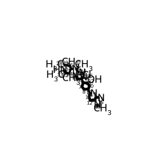 CN(c1ncc(-c2ccc(-c3ccc4c(ncn4C)n3)cc2O)nn1)C1CC(C)(C)NC(C)(C)C1.Cl